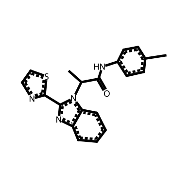 Cc1ccc(NC(=O)C(C)n2c(-c3nccs3)nc3ccccc32)cc1